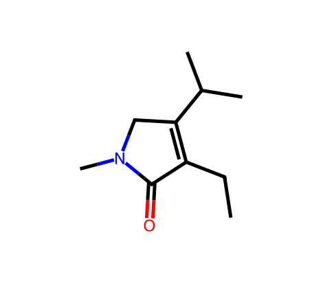 CCC1=C(C(C)C)CN(C)C1=O